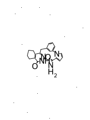 NC(=O)c1cccn1-c1cccc(Cc2n[nH]c(=O)c3c2CCCC3)c1